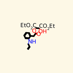 C=CCNc1ccccc1CC(=O)OC(C(=O)OCC)C(O)C(=O)OCC